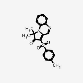 Cc1ccc(S(=O)(=O)C2=C3C=Nc4ccccc4N3C(C)(C)C2=O)cc1